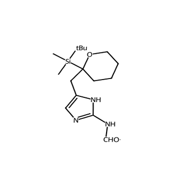 CC(C)(C)[Si](C)(C)C1(Cc2cnc(N[C]=O)[nH]2)CCCCO1